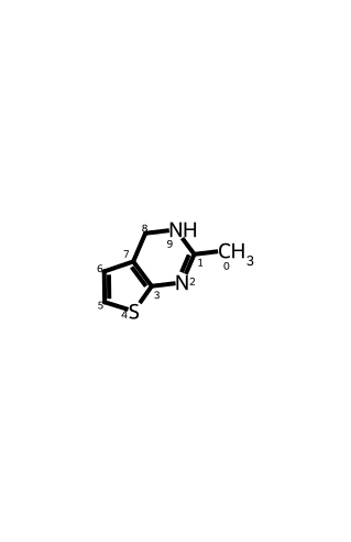 CC1=Nc2sccc2CN1